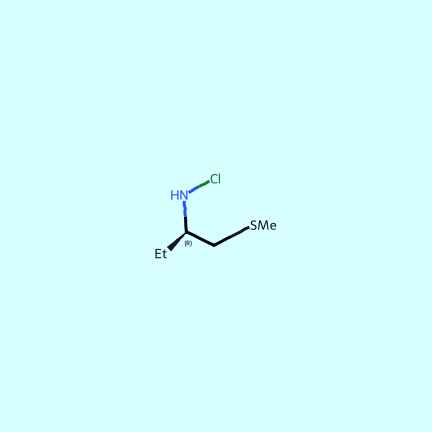 CC[C@H](CSC)NCl